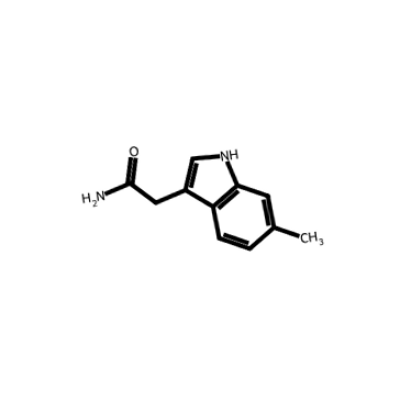 Cc1ccc2c(CC(N)=O)c[nH]c2c1